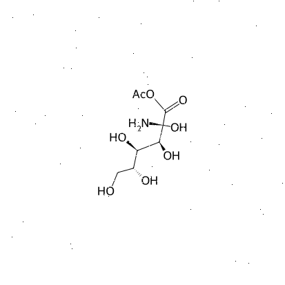 CC(=O)OC(=O)[C@](N)(O)[C@@H](O)[C@H](O)[C@H](O)CO